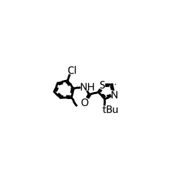 Cc1cccc(Cl)c1NC(=O)c1s[c]nc1C(C)(C)C